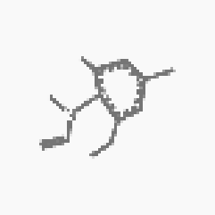 C=CN(C)c1c(C)cc(C)cc1CC